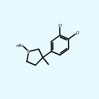 CCCCN1CCC(C)(c2ccc(Cl)c(Cl)c2)C1